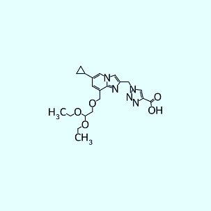 CCOC(COCc1cc(C2CC2)cn2cc(Cn3cc(C(=O)O)nn3)nc12)OCC